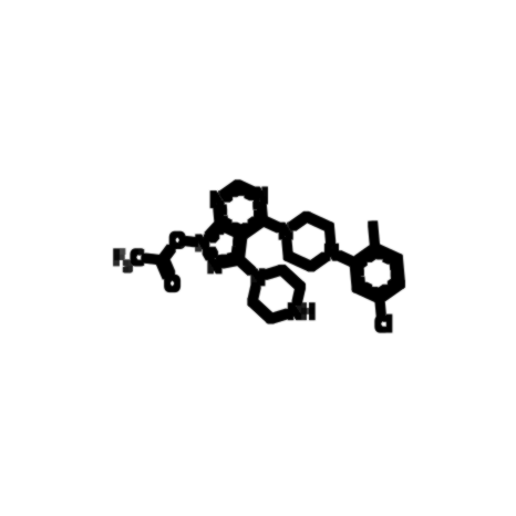 Cc1ccc(Cl)cc1N1CCN(c2ncnc3c2c(N2CCNCC2)nn3OC(=O)C(F)(F)F)CC1